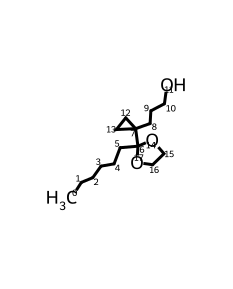 CCCCCCC1(C2(CCCO)CC2)OCCO1